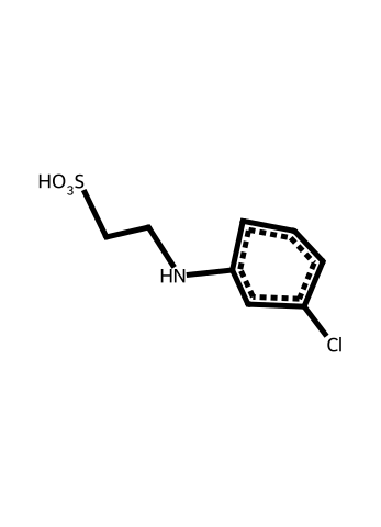 O=S(=O)(O)CCNc1cccc(Cl)c1